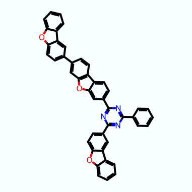 c1ccc(-c2nc(-c3ccc4c(c3)oc3cc(-c5ccc6oc7ccccc7c6c5)ccc34)nc(-c3ccc4oc5ccccc5c4c3)n2)cc1